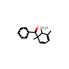 CC1=CC=CC(C)(C(=O)c2ccccc2)C1C(=O)O